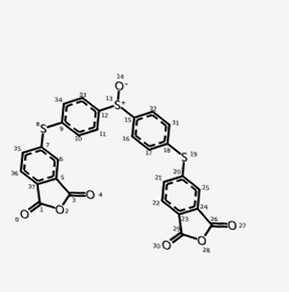 O=C1OC(=O)c2cc(Sc3ccc([S+]([O-])c4ccc(Sc5ccc6c(c5)C(=O)OC6=O)cc4)cc3)ccc21